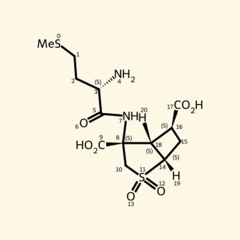 CSCC[C@H](N)C(=O)N[C@@]1(C(=O)O)CS(=O)(=O)[C@H]2C[C@H](C(=O)O)[C@H]21